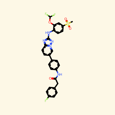 CS(=O)(=O)c1ccc(Nc2nc3ccc(-c4ccc(NC(=O)Cc5ccc(F)cc5)cc4)cn3n2)c(OC(F)F)c1